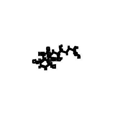 C=C(CCC(=C)C(=O)CC1(O)C(=O)Nc2c(Cl)ccc(Cl)c21)OC